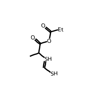 CCC(=O)OC(=O)C(C)[SH]=CS